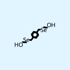 OCC[Se]Cc1ccc(C[Se]CCO)cc1